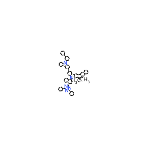 CC1(C)c2cc3ccccc3cc2-c2cc3c4cc(-c5ccc6c(c5)c5ccccc5n6-c5cccc(-c6ccccc6)c5)ccc4n(-c4ccc(-c5nc(-c6ccccc6)nc(-c6ccccc6)n5)c5ccccc45)c3cc21